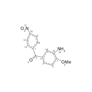 COc1ccc(C(=O)c2ccc([N+](=O)[O-])cc2)cc1N